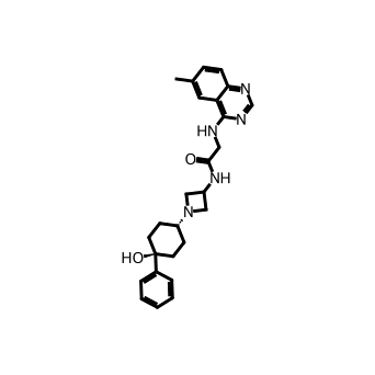 Cc1ccc2ncnc(NCC(=O)NC3CN([C@H]4CC[C@@](O)(c5ccccc5)CC4)C3)c2c1